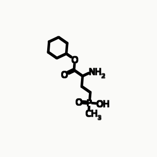 CP(=O)(O)CCC(N)C(=O)OC1CCCCC1